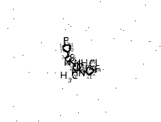 C[C@H](C[C@H](N)c1ncc(-c2ccc(F)cc2)s1)C(=O)Nc1ccc(F)c(Cl)c1